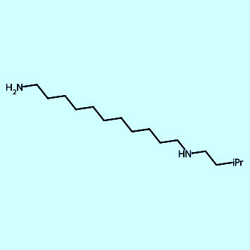 CC(C)CCNCCCCCCCCCCCN